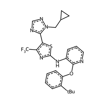 CC(C)(C)c1ccccc1Oc1ncccc1Nc1nc(C(F)(F)F)c(-c2ncnn2CC2CC2)s1